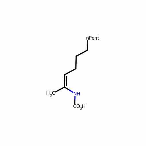 CCCCCCCCC=C(C)NC(=O)O